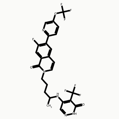 CC(CCCn1ccc2cc(-c3ccc(OC(F)(F)F)cn3)c(F)cc2c1=O)Nc1cn[nH]c(=O)c1C(F)(F)F